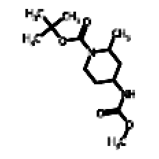 COC(=O)NC1CCN(C(=O)OC(C)(C)C)C(C)C1